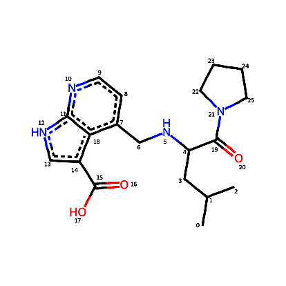 CC(C)CC(NCc1ccnc2[nH]cc(C(=O)O)c12)C(=O)N1CCCC1